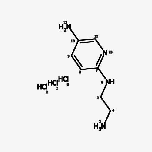 Cl.Cl.Cl.NCCNc1ccc(N)cn1